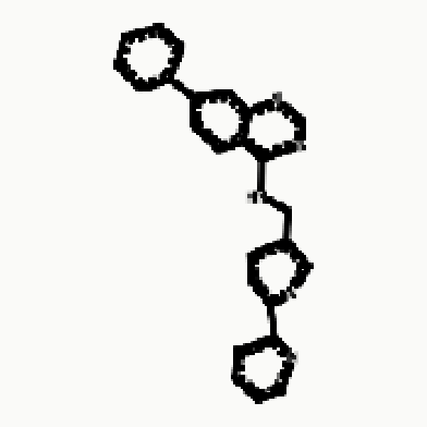 c1ccc(-c2ccc3c(NCc4ccc(-c5ccccn5)nc4)ncnc3c2)cc1